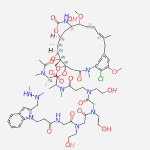 CNN(C)Cc1cc2ccccc2n1CCC(=O)NCC(=O)N(CCO)CC(=O)N(CCO)CC(=O)N(CCO)CCC(=O)N(C)C(C)C(=O)O[C@]1(OC(=O)[C@H](C)N(C)C(C)=O)CC(=O)N(C)c2cc(cc(OC)c2Cl)C/C(C)=C/C=C/C(OC)[C@@]2(O)C[C@H](OC(=O)N2)[C@@H](C)[C@@H]2O[C@]21C